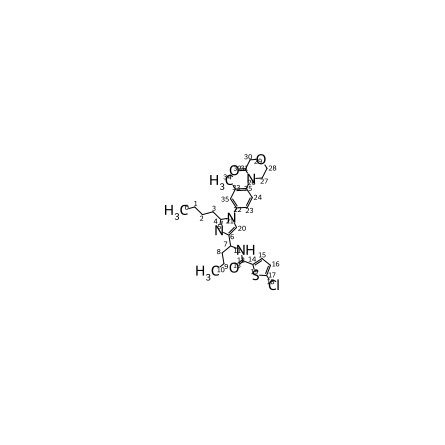 CCCCc1nc(C(CCC)NC(=O)c2ccc(Cl)s2)cn1-c1ccc(N2CCOCC2=O)c(C)c1